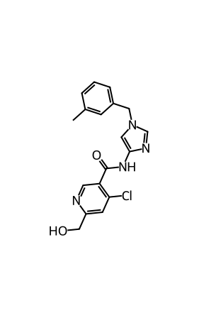 Cc1cccc(Cn2cnc(NC(=O)c3cnc(CO)cc3Cl)c2)c1